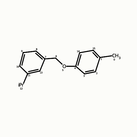 Cc1ccc(OCc2cccc(C(C)C)c2)cc1